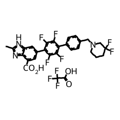 Cc1nc2c(C(=O)O)cc(-c3c(F)c(F)c(-c4ccc(CN5CCCC(F)(F)C5)cc4)c(F)c3F)cc2[nH]1.O=C(O)C(F)(F)F